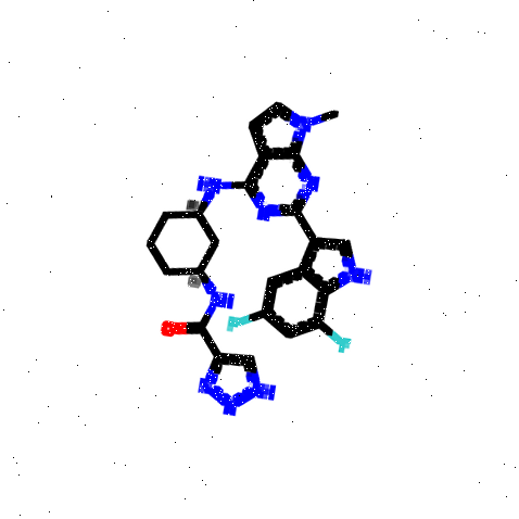 Cn1ccc2c(N[C@@H]3CCC[C@H](NC(=O)c4c[nH]nn4)C3)nc(-c3c[nH]c4c(F)cc(F)cc34)nc21